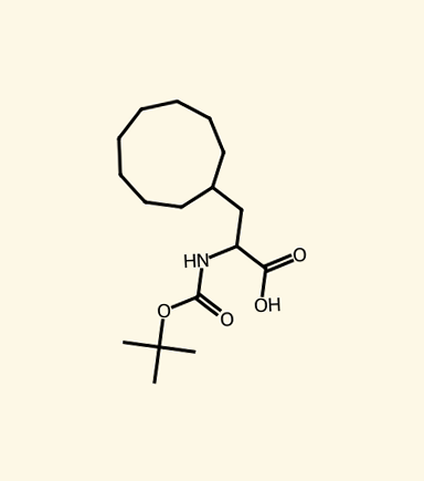 CC(C)(C)OC(=O)NC(CC1CCCCCCCC1)C(=O)O